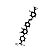 CC(O)C1CCC(c2ccc(-c3ccc(/C=C/c4ccc(C5CO5)c(F)c4)cc3)c(F)c2F)CC1